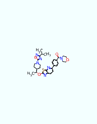 CC(C)c1noc(N2CCC(C(C)Oc3nc4ccc(-c5ccc(C(=O)N6CCOCC6)cc5)nc4s3)CC2)n1